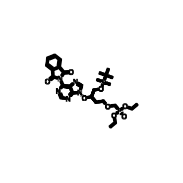 CCOP(=O)(COCCC(CO[Si](C)(C)C(C)(C)C)On1cnc2c(N3C(=O)c4ccccc4C3=O)ncnc21)OCC